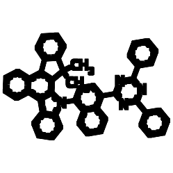 CC1(C)c2ccccc2-c2c1c1c(c3ccccc23)c2ccccc2n1-c1ccc(-c2nc(-c3ccccc3)nc(-c3ccccc3)n2)c2ccccc12